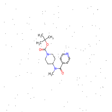 CN(C(=O)c1ccncc1)C1CCN(C(=O)OC(C)(C)C)CC1